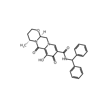 C[C@@H]1CCO[C@H]2Cn3cc(C(=O)NC(c4ccccc4)c4ccccc4)c(=O)c(O)c3C(=O)N12